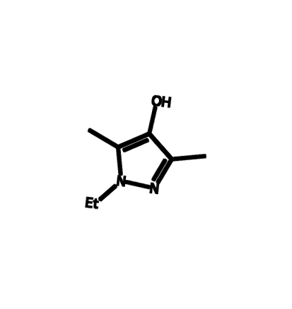 CCn1nc(C)c(O)c1C